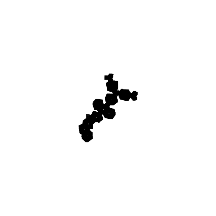 CC(C)c1ccc(N(c2ccc(-c3c4ccccc4c(-c4ccc5c(c4)sc4cc6ccc7ccccc7c6cc45)c4ccccc34)cc2)c2ccc(C(C)C)cc2)cc1